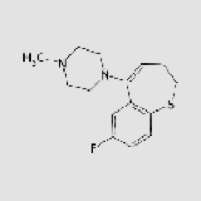 CN1CCN(C2=CCCSc3ccc(F)cc32)CC1